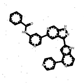 O=C(Nc1cncc(-c2cc3c(-c4cc5c(-c6ccncc6)nccc5[nH]4)n[nH]c3cn2)c1)c1ccccc1